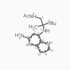 CCCCC(C)(CNC(C)=O)Nc1cc(N)nc2cccnc12